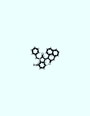 O=C1Cc2cccc3cccc(c23)C1C1C(=O)N(Cc2ccccc2)c2c(Br)cccc21